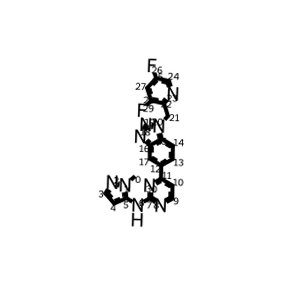 Cn1nccc1Nc1nccc(-c2ccc3c(c2)nnn3Cc2ncc(F)cc2F)n1